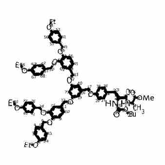 CCOc1ccc(COc2ccc(COc3cc(COc4ccc(CC(NC(=O)OC(C)(C)C)C(=O)NC(C)C(=O)OC)cc4)cc(OCc4ccc(OCc5ccc(OCC)cc5)c(OCc5ccc(OCC)cc5)c4)c3)cc2OCc2ccc(OCC)cc2)cc1